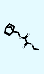 CCOC(=O)C(=O)OCC12C=CC(CC1)C2